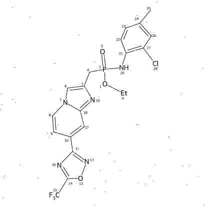 CCOP(=O)(Cc1cn2ccc(-c3noc(C(F)(F)F)n3)cc2n1)Nc1ccc(C)cc1Cl